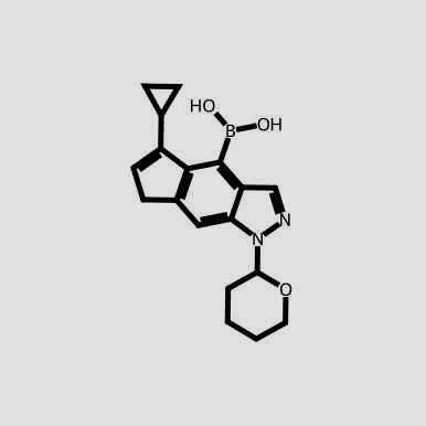 OB(O)c1c2c(cc3c1cnn3C1CCCCO1)CC=C2C1CC1